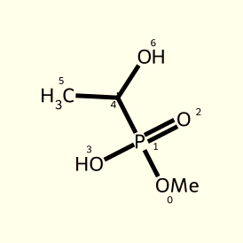 COP(=O)(O)[C](C)O